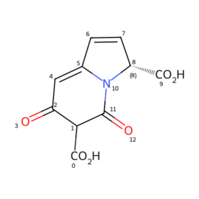 O=C(O)C1C(=O)C=C2C=C[C@H](C(=O)O)N2C1=O